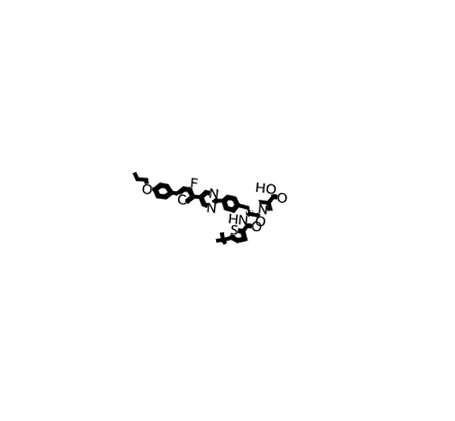 CCCOc1ccc(-c2ccc(-c3cnc(-c4ccc(C[C@H](NC(=O)c5ccc(C(C)(C)C)s5)C(=O)N5CC(C(=O)O)C5)cc4)nc3)c(F)c2)cc1